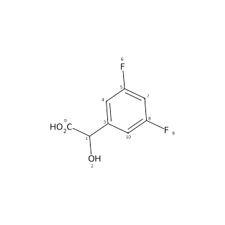 O=C(O)C(O)c1cc(F)cc(F)c1